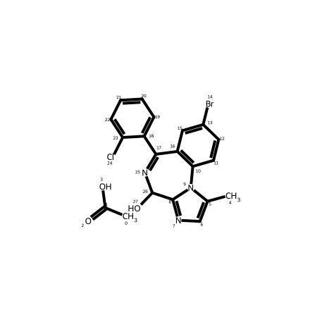 CC(=O)O.Cc1cnc2n1-c1ccc(Br)cc1C(c1ccccc1Cl)=NC2O